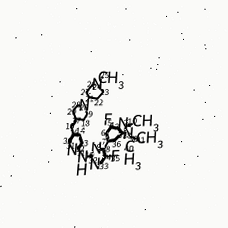 Cc1nc2c(F)cc(-c3nc(Nc4ccc(C=C5CCN(C6CCN(C)CC6)CC5)cn4)ncc3F)cc2n1C(C)C